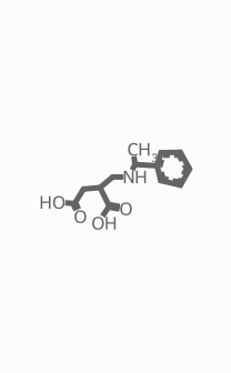 CC(NCC(CC(=O)O)C(=O)O)c1ccccc1